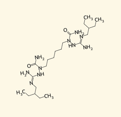 CCC(CC)CN=C(N)NN(CCCCCCN(NC(N)=NCC(CC)CC)C(N)=O)C(N)=O